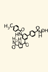 Cc1ccc(C(=O)Nc2cc(C(=O)C3CCC(C(N)=O)N3)cc(-c3ccc(C(=O)NO)cc3)c2)cc1